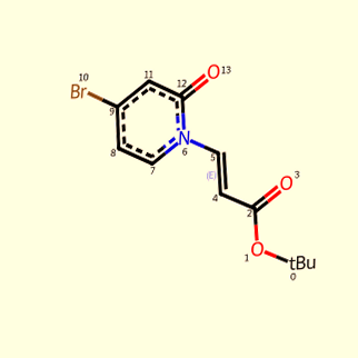 CC(C)(C)OC(=O)/C=C/n1ccc(Br)cc1=O